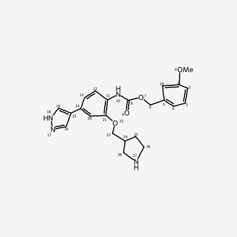 COc1cccc(COC(=O)Nc2ccc(-c3cn[nH]c3)cc2OCC2CCNC2)c1